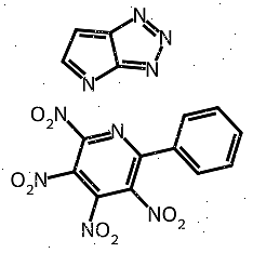 C1=NC2=NN=NC2=C1.O=[N+]([O-])c1nc(-c2ccccc2)c([N+](=O)[O-])c([N+](=O)[O-])c1[N+](=O)[O-]